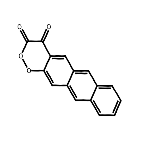 O=c1ooc2cc3cc4ccccc4cc3cc2c1=O